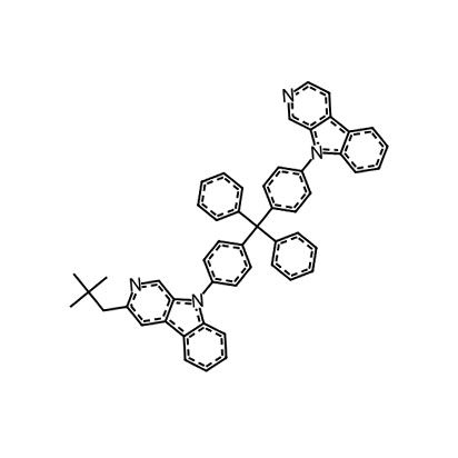 CC(C)(C)Cc1cc2c3ccccc3n(-c3ccc(C(c4ccccc4)(c4ccccc4)c4ccc(-n5c6ccccc6c6ccncc65)cc4)cc3)c2cn1